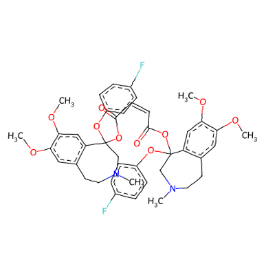 COc1cc2c(cc1OC)C(OC(=O)/C=C\C(=O)OC1(Oc3ccc(F)cc3)CN(C)CCc3cc(OC)c(OC)cc31)(Oc1ccc(F)cc1)CN(C)CC2